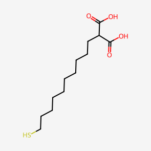 O=C(O)C(CCCCCCCCCCS)C(=O)O